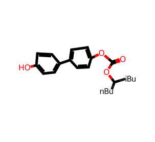 CCCCC(OC(=O)Oc1ccc(-c2ccc(O)cc2)cc1)C(C)CC